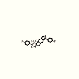 C[C@]12Cc3cnn(-c4ccc(F)cc4)c3C=C1CC[C@@H]2C[C@@H](O)c1ccc(F)cc1